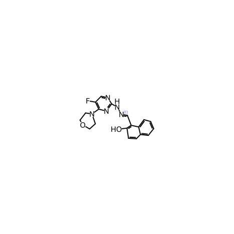 Oc1ccc2ccccc2c1/C=N/Nc1ncc(F)c(N2CCOCC2)n1